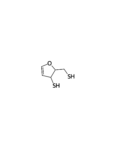 SCC1OC=CC1S